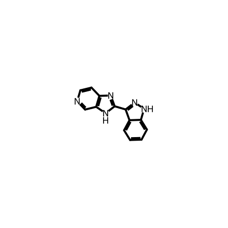 c1ccc2c(-c3nc4ccncc4[nH]3)n[nH]c2c1